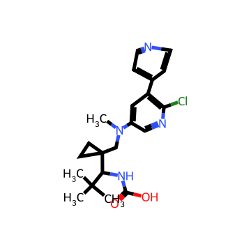 CN(CC1(C(NC(=O)O)C(C)(C)C)CC1)c1cnc(Cl)c(-c2ccncc2)c1